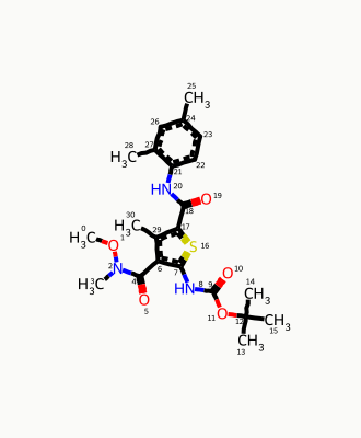 CON(C)C(=O)c1c(NC(=O)OC(C)(C)C)sc(C(=O)Nc2ccc(C)cc2C)c1C